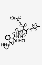 Cc1nnc(SCC2=C(C(=O)OCOC(=O)C(C)(C)C)N3C(=O)C(NC(=O)C(O)c4ccccc4C(=O)[C@@H]4CCCN4)[C@@H]3SC2)s1.Cl